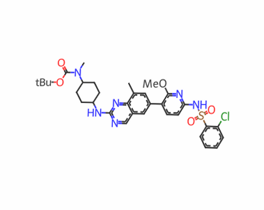 COc1nc(NS(=O)(=O)c2ccccc2Cl)ccc1-c1cc(C)c2nc(NC3CCC(N(C)C(=O)OC(C)(C)C)CC3)ncc2c1